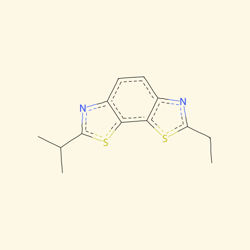 CCc1nc2ccc3nc(C(C)C)sc3c2s1